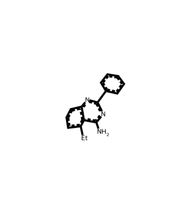 CCc1cccc2nc(-c3ccccc3)nc(N)c12